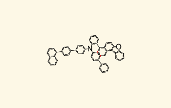 c1ccc(-c2ccc(N(c3ccc(-c4ccc(-c5cccc6ccccc56)cc4)cc3)c3ccccc3-c3cccc4c3ccc3oc5ccccc5c34)cc2)cc1